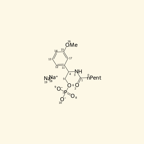 CCCCCC(=O)NC(COP(=O)([O-])[O-])c1cccc(OC)c1.[Na+].[Na+]